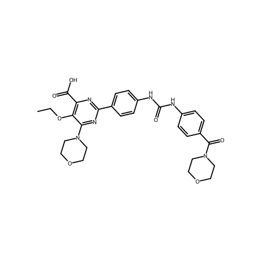 CCOc1c(C(=O)O)nc(-c2ccc(NC(=O)Nc3ccc(C(=O)N4CCOCC4)cc3)cc2)nc1N1CCOCC1